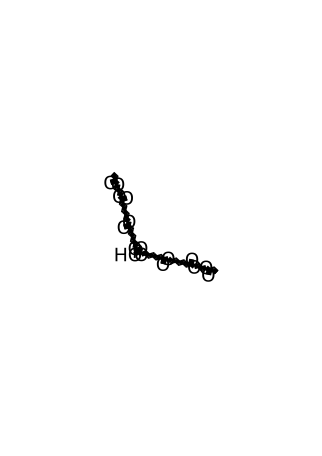 C=CC(=O)OCCOC(=O)CCCCCOC(=O)CCCCCOP(=O)(O)OCCCCCC(=O)OCCCCCC(=O)OCCOC(=O)C=C